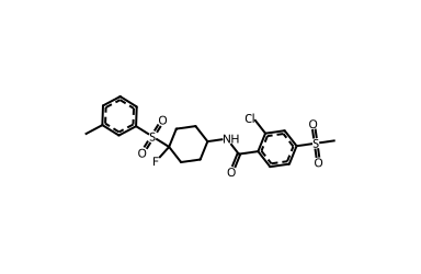 Cc1cccc(S(=O)(=O)C2(F)CCC(NC(=O)c3ccc(S(C)(=O)=O)cc3Cl)CC2)c1